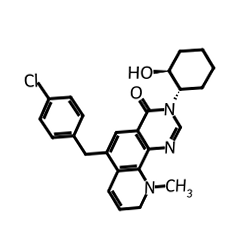 CN1CC=Cc2c(Cc3ccc(Cl)cc3)cc3c(=O)n([C@H]4CCCC[C@@H]4O)cnc3c21